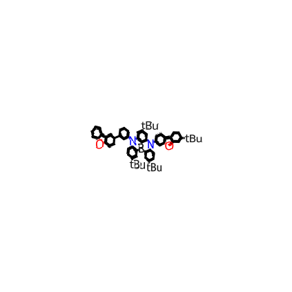 CC(C)(C)c1ccc2c(c1)B1c3cc(C(C)(C)C)ccc3N(c3ccc4c(c3)oc3cc(C(C)(C)C)ccc34)c3cc(C(C)(C)C)cc(c31)N2c1cccc(-c2ccc3oc4ccccc4c3c2)c1